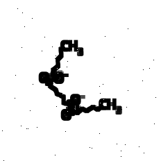 CCCCCC[S+]([O-])[S+]([O-])CCCCC[S+]([O-])[S+]([O-])CCCCCC